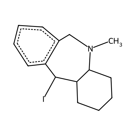 CN1Cc2ccccc2C(I)C2CCCCC21